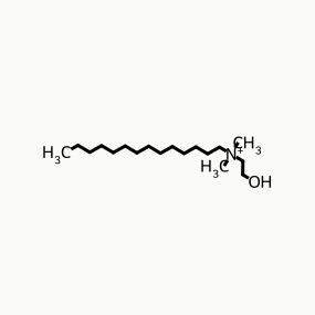 CCCCCCCCCCCCCC[N+](C)(C)CCO